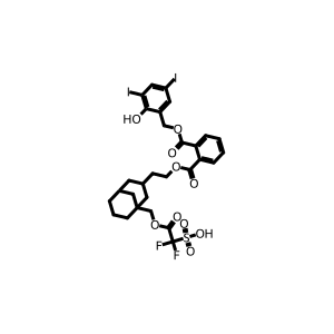 O=C(OCCC1CC2CCCC(COC(=O)C(F)(F)S(=O)(=O)O)(C2)C1)c1ccccc1C(=O)OCc1cc(I)cc(I)c1O